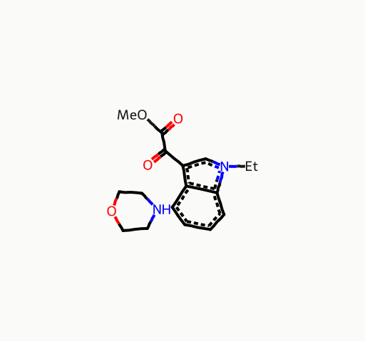 C1COCCN1.CCn1cc(C(=O)C(=O)OC)c2ccccc21